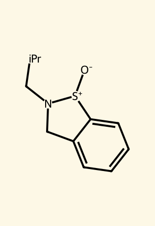 CC(C)CN1Cc2ccccc2[S+]1[O-]